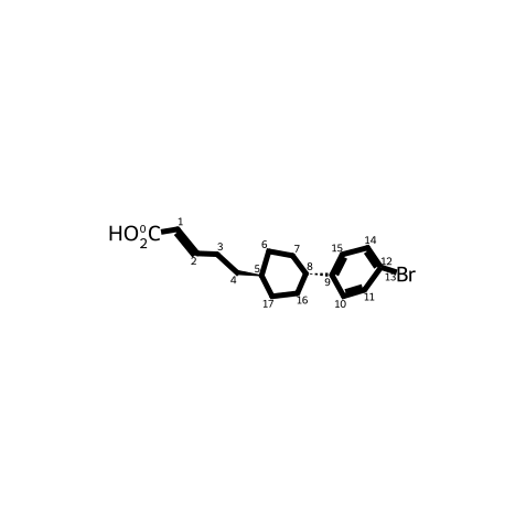 O=C(O)/C=C/CC[C@H]1CC[C@H](c2ccc(Br)cc2)CC1